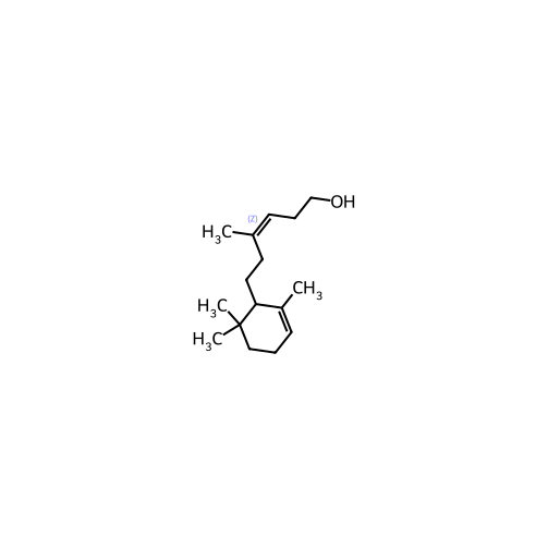 CC1=CCCC(C)(C)C1CC/C(C)=C\CCO